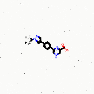 CC(C)n1cc(-c2ccc(C3=CNCC(C(=O)O)=N3)cc2)cn1